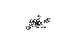 COC(=O)c1c(N(COCCS(C)(C)C)S(=O)(=O)c2ccc(F)cc2/C=C\CN2CCOCC2)ccc2c1OCc1occc1-2